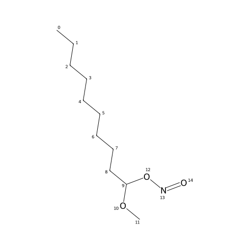 CCCCCCCCCC(OC)ON=O